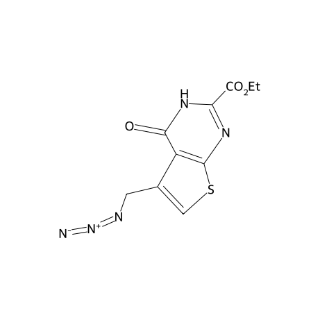 CCOC(=O)c1nc2scc(CN=[N+]=[N-])c2c(=O)[nH]1